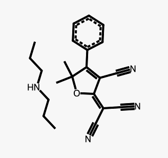 CC1(C)OC(=C(C#N)C#N)C(C#N)=C1c1ccccc1.CCCNCCC